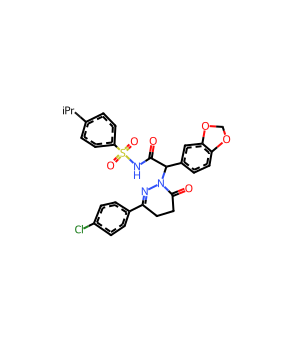 CC(C)c1ccc(S(=O)(=O)NC(=O)C(c2ccc3c(c2)OCO3)N2N=C(c3ccc(Cl)cc3)CCC2=O)cc1